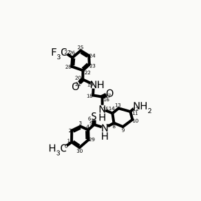 Cc1ccc(C(=S)NC2CCC(N)CC2NC(=O)CNC(=O)c2cccc(C(F)(F)F)c2)cc1